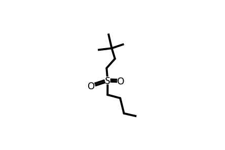 CCCCS(=O)(=O)CCC(C)(C)C